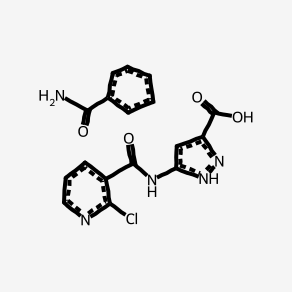 NC(=O)c1ccccc1.O=C(O)c1cc(NC(=O)c2cccnc2Cl)[nH]n1